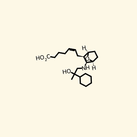 CC(O)(CN[C@H]1[C@@H](C/C=C\CCCC(=O)O)[C@H]2CC[C@@H]1O2)C1CCCCC1